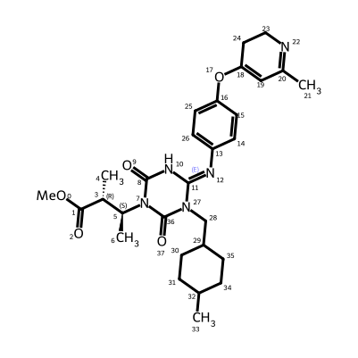 COC(=O)[C@H](C)[C@H](C)n1c(=O)[nH]/c(=N\c2ccc(OC3=CC(C)=NCC3)cc2)n(CC2CCC(C)CC2)c1=O